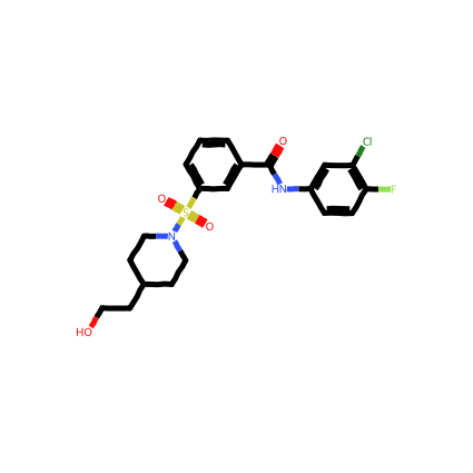 O=C(Nc1ccc(F)c(Cl)c1)c1cccc(S(=O)(=O)N2CCC(CCO)CC2)c1